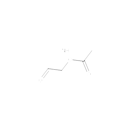 CC(=O)OCC=O.N